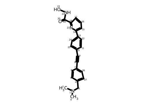 CN(C)Cc1ccc(C#Cc2ccc(-c3cccc(C(=O)NO)n3)cc2)cc1